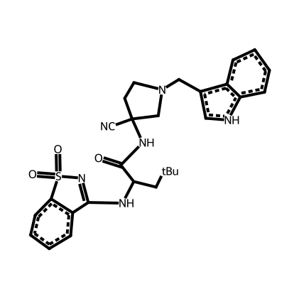 CC(C)(C)CC(NC1=NS(=O)(=O)c2ccccc21)C(=O)NC1(C#N)CCN(Cc2c[nH]c3ccccc23)C1